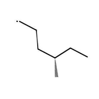 [CH2]CC[C@@H](C)CC